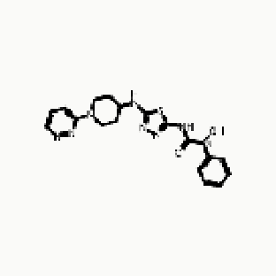 O=C(Nc1nnc(NC2CCN(c3cccnn3)CC2)s1)[C@@H](O)c1ccccc1